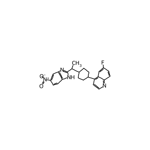 CC(c1nc2cc([N+](=O)[O-])ccc2[nH]1)C1CCC(c2ccnc3ccc(F)cc23)CC1